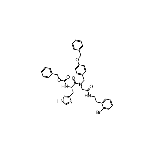 O=C(CN(Cc1ccc(OCc2ccccc2)cc1)C(=O)[C@H](Cc1c[nH]cn1)NC(=O)OCc1ccccc1)NCCc1ccccc1Br